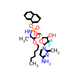 C=C1N=C(N)C=CN1[C@@H]1O[C@H](COP(=O)(N[C@@H](C)C(=O)OCCCCCC)Oc2cccc3ccccc23)C(O)C1(F)F